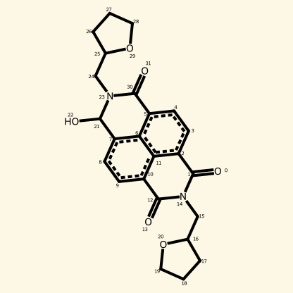 O=C1c2ccc3c4c(ccc(c24)C(=O)N1CC1CCCO1)C(O)N(CC1CCCO1)C3=O